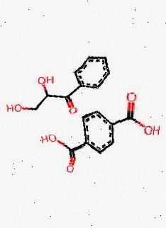 O=C(O)c1ccc(C(=O)O)cc1.O=C(c1ccccc1)C(O)CO